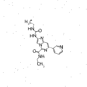 CCNC(=O)Nc1cn2c(C(=O)NCC)nc(-c3cccnc3)cc2n1